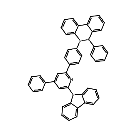 c1ccc(B2c3ccccc3-c3ccccc3N2c2ccc(-c3cc(-c4ccccc4)cc(-n4c5ccccc5c5ccccc54)n3)cc2)cc1